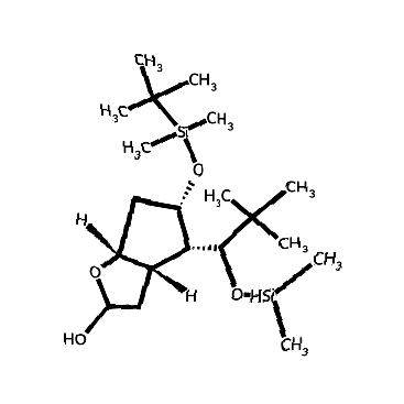 C[SiH](C)OC([C@@H]1[C@@H]2CC(O)O[C@@H]2C[C@@H]1O[Si](C)(C)C(C)(C)C)C(C)(C)C